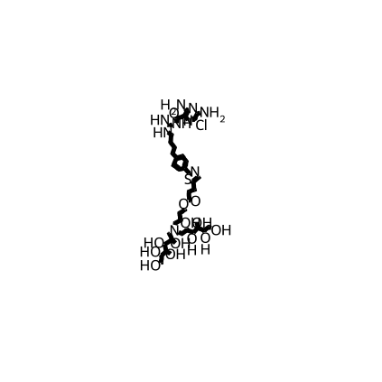 N=C(NCCCCc1ccc(-c2ncc(CCC(=O)OCCCCN(CC(O)C(O)C(O)C(O)CO)CC(O)C(O)C(O)C(O)CO)s2)cc1)NC(=O)c1nc(Cl)c(N)nc1N